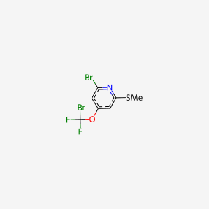 CSc1cc(OC(F)(F)Br)cc(Br)n1